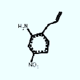 C=CCc1ccc([N+](=O)[O-])cc1N